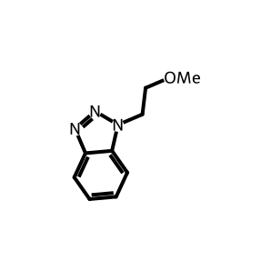 COCCn1nnc2ccccc21